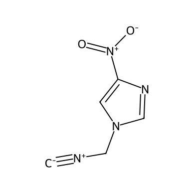 [C-]#[N+]Cn1cnc([N+](=O)[O-])c1